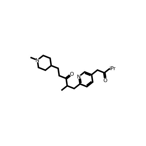 CC(C)C(=O)Cc1ccc(CC(C)C(=O)CCC2CCN(C)CC2)nc1